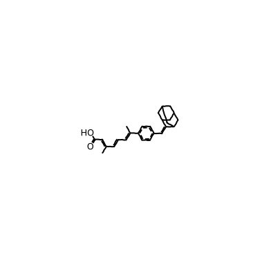 CC(C=CC=C(C)c1ccc(C=C2C3CC4CC(C3)CC2C4)cc1)=CC(=O)O